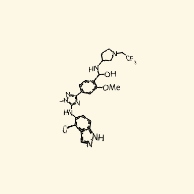 COc1cc(-c2nc(Nc3ccc4[nH]ncc4c3Cl)n(C)n2)ccc1C(O)NC1CCN(CC(F)(F)F)C1